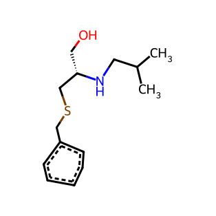 CC(C)CN[C@@H](CO)CSCc1ccccc1